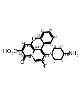 NC1CCN(c2c(F)cn3c(=O)c(C(=O)O)cc4c3c2-c2ccccc2O4)CC1